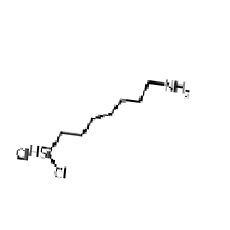 NCCCCCCC[SiH](Cl)Cl